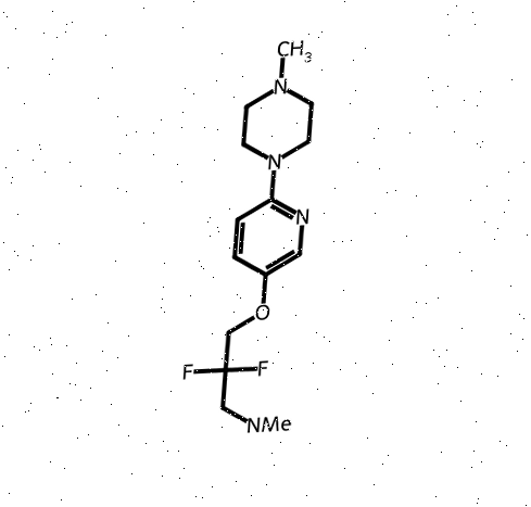 CNCC(F)(F)COc1ccc(N2CCN(C)CC2)nc1